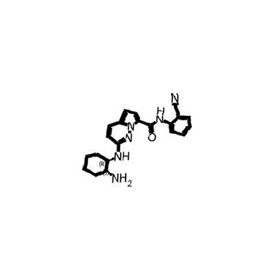 N#Cc1ccccc1NC(=O)c1ccc2ccc(N[C@@H]3CCCC[C@@H]3N)nn12